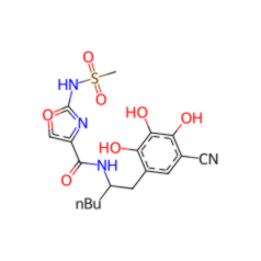 CCCCC(Cc1cc(C#N)c(O)c(O)c1O)NC(=O)c1coc(NS(C)(=O)=O)n1